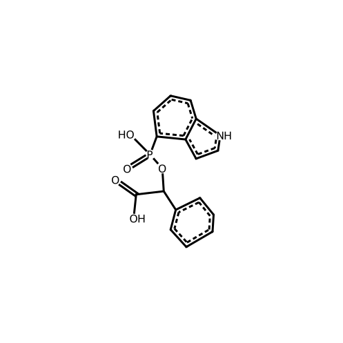 O=C(O)C(OP(=O)(O)c1cccc2[nH]ccc12)c1ccccc1